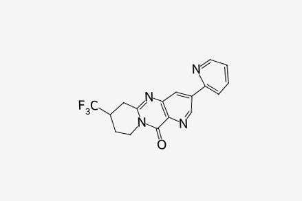 O=c1c2ncc(-c3ccccn3)cc2nc2n1CCC(C(F)(F)F)C2